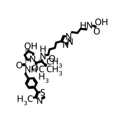 Cc1ncsc1-c1ccc(CNC(=O)[C@@H]2C[C@@H](O)CN2C(=O)[C@@H](NC(=O)CCCc2cn(CCCCNC(=O)O)nn2)C(C)(C)C)cc1